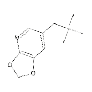 CC(C)(C)Cc1cnc2c(c1)OCO2